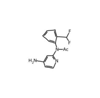 CC(=O)N(c1cc(N)ccn1)c1ccccc1C(F)F